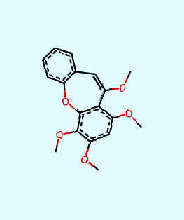 COC1=Cc2ccccc2Oc2c(OC)c(OC)cc(OC)c21